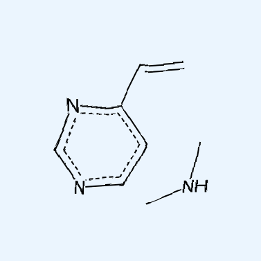 C=Cc1ccncn1.CNC